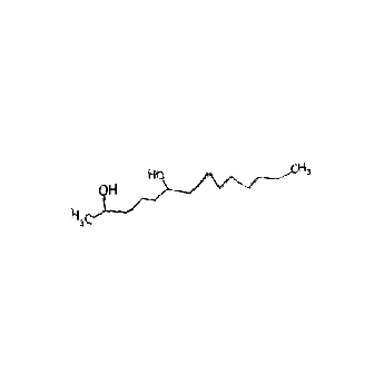 CCCCCCCCC(O)CCCC(C)O